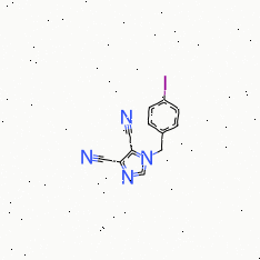 N#Cc1ncn(Cc2ccc(I)cc2)c1C#N